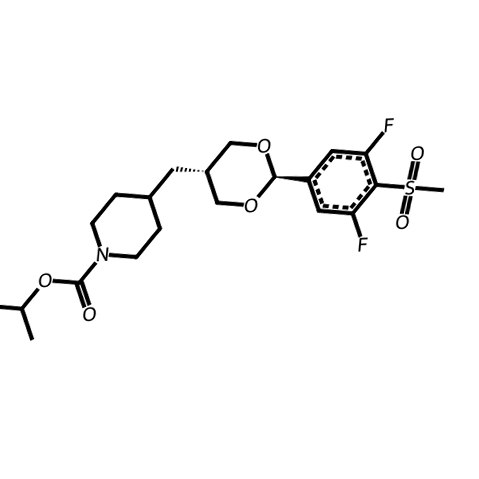 CC(C)OC(=O)N1CCC(C[C@H]2CO[C@H](c3cc(F)c(S(C)(=O)=O)c(F)c3)OC2)CC1